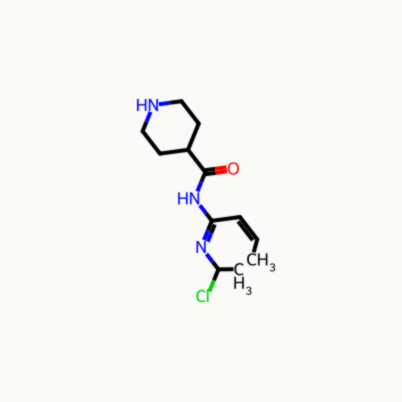 C/C=C\C(=N/C(C)Cl)NC(=O)C1CCNCC1